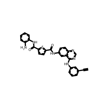 C#Cc1cccc(Nc2ncnc3ccc(NC(=O)c4ccc(C(=O)Nc5ccccc5N)s4)cc23)c1